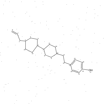 C=CCC1CCC(C2CCC(CCc3ccc(O)cc3)CC2)CC1